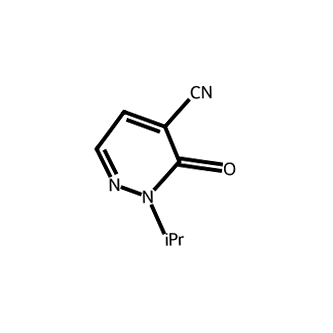 CC(C)n1nccc(C#N)c1=O